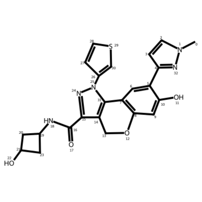 Cn1ccc(-c2cc3c(cc2O)OCc2c(C(=O)NC4CC(O)C4)nn(-c4ccsc4)c2-3)n1